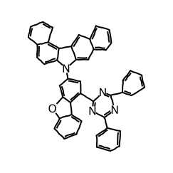 c1ccc(-c2nc(-c3ccccc3)nc(-c3cc(-n4c5cc6ccccc6cc5c5c6ccccc6ccc54)cc4oc5ccccc5c34)n2)cc1